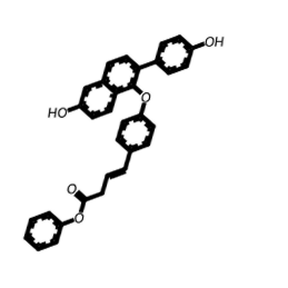 O=C(CC=Cc1ccc(Oc2c(-c3ccc(O)cc3)ccc3cc(O)ccc23)cc1)Oc1ccccc1